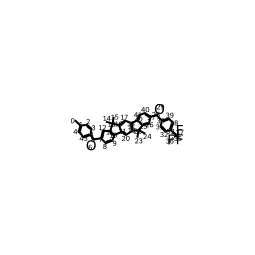 Cc1ccc(C(=O)c2ccc3c(c2)C(C)(C)c2cc4c(cc2-3)C(C)(C)c2cc(C(=O)c3ccc(C(F)(F)F)cc3)ccc2-4)cc1